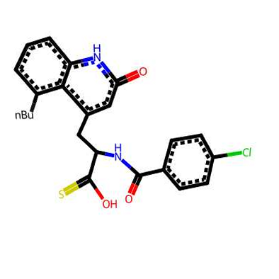 CCCCc1cccc2[nH]c(=O)cc(CC(NC(=O)c3ccc(Cl)cc3)C(O)=S)c12